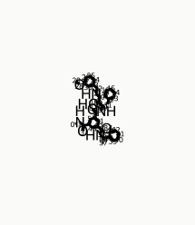 CNC(=O)c1cc(C(=O)N[C@@H](Cc2ccccc2)[C@H](O)CNCc2cccc(OC)c2)cc(C(=O)N[C@H](C)c2ccccc2)c1